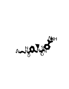 CN(C)CCCNC(=O)c1cccc(CN(C(=O)c2nc3ccc(-c4cn[nH]c4)cc3s2)C2CC2)c1